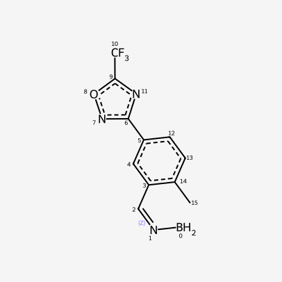 B/N=C\c1cc(-c2noc(C(F)(F)F)n2)ccc1C